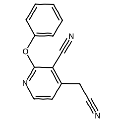 N#CCc1ccnc(Oc2ccccc2)c1C#N